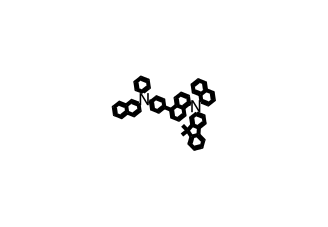 CC1(C)c2ccccc2-c2ccc(N(c3cccc4ccccc34)c3cccc4c(-c5ccc(N(c6ccccc6)c6ccc7ccccc7c6)cc5)cccc34)cc21